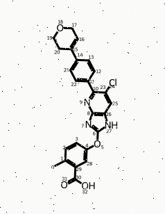 Cc1ccc(Oc2nc3nc(-c4ccc(C5=CCOCC5)cc4)c(Cl)cc3[nH]2)cc1C(=O)O